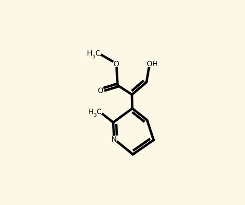 COC(=O)C(=CO)c1cccnc1C